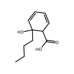 CCCCC1(O)C=CC=CC1C(=O)O